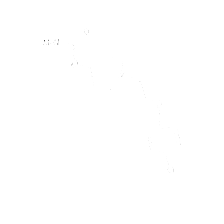 CNC(=O)OC1CCN(CCOc2ccc(Cl)cc2)CC1